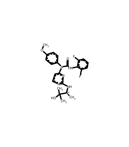 COc1ccc(N(C(=O)Nc2c(F)cccc2F)c2ccnc(N[C@@H](C)C(C)(C)O)n2)cc1